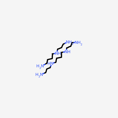 NCCCCNCCCN.NCCCNCCCCNCCCN